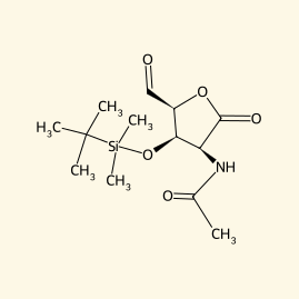 CC(=O)N[C@@H]1C(=O)O[C@H](C=O)[C@@H]1O[Si](C)(C)C(C)(C)C